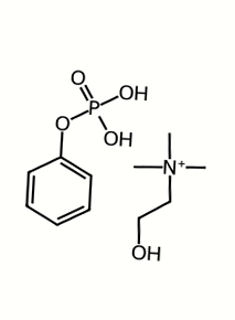 C[N+](C)(C)CCO.O=P(O)(O)Oc1ccccc1